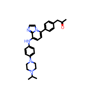 CC(=O)Cc1ccc(-c2ccc(Nc3ccc(N4CCN(C(C)C)CC4)cc3)c3nccn23)cc1